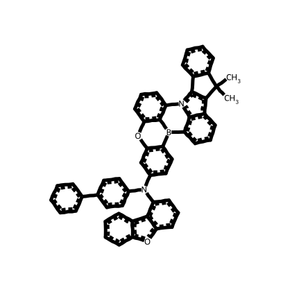 CC1(C)c2ccccc2-c2c1c1cccc3c1n2-c1cccc2c1B3c1ccc(N(c3ccc(-c4ccccc4)cc3)c3cccc4oc5ccccc5c34)cc1O2